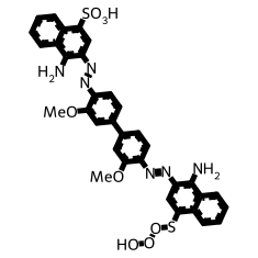 COc1cc(-c2ccc(N=Nc3cc(S(=O)(=O)O)c4ccccc4c3N)c(OC)c2)ccc1N=Nc1cc(SOOO)c2ccccc2c1N